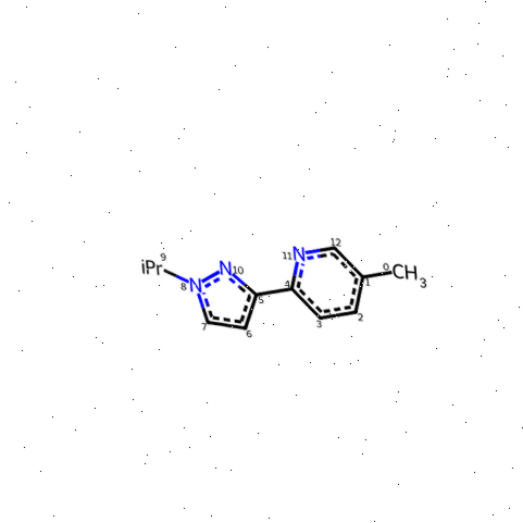 Cc1ccc(-c2ccn(C(C)C)n2)nc1